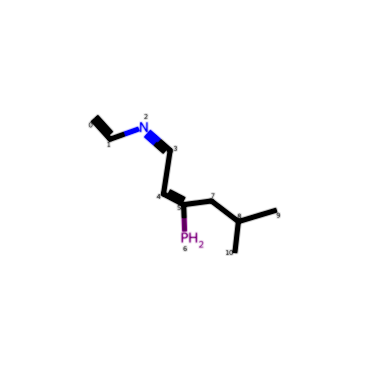 C=C/N=C\C=C(\P)CC(C)C